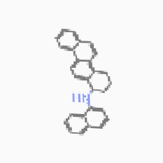 c1ccc2c(NC3CCCc4c3ccc3c4ccc4ccccc43)cccc2c1